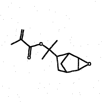 C=C(C)C(=O)OC(C)(C)C1CC2CC1C1OC21